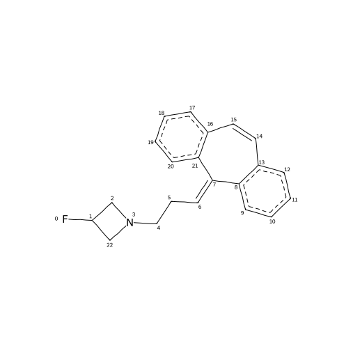 FC1CN(CCC=C2c3ccccc3C=Cc3ccccc32)C1